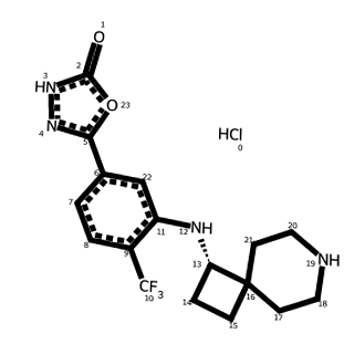 Cl.O=c1[nH]nc(-c2ccc(C(F)(F)F)c(N[C@H]3CCC34CCNCC4)c2)o1